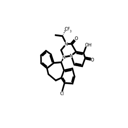 C[C@@H](N1CN([C@@H]2c3ccccc3CCc3c(Cl)cccc32)n2ccc(=O)c(O)c2C1=O)C(F)(F)F